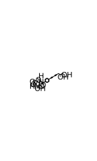 COC1(C(NC(=O)c2ccc(C#CC#CC[C@H](O)CO)cc2)C(=O)NO)CS(=O)(=O)C1